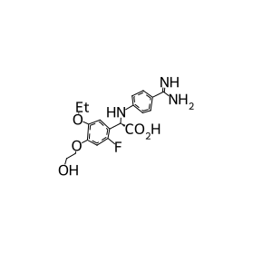 CCOc1cc([C@@H](Nc2ccc(C(=N)N)cc2)C(=O)O)c(F)cc1OCCO